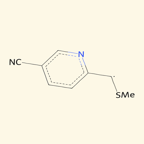 CS[CH]c1ccc(C#N)cn1